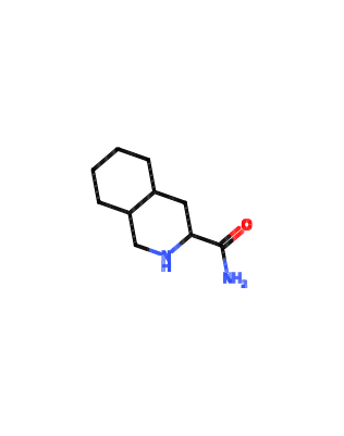 NC(=O)C1CC2CCCCC2CN1